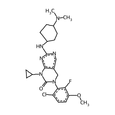 COc1ccc(Cl)c(N2Cc3cnc(NC4CCC(N(C)C)CC4)nc3N(C3CC3)C2=O)c1F